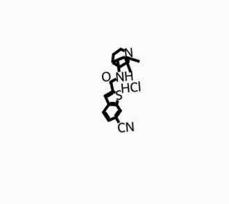 CC1(C)C(NC(=O)c2cc3ccc(C#N)cc3s2)C2CCN1CC2.Cl